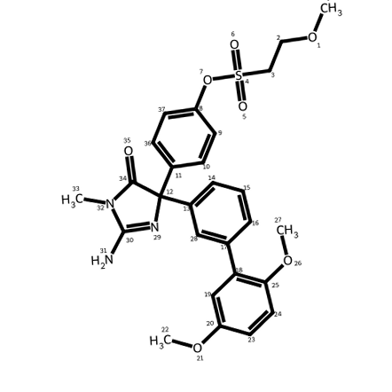 COCCS(=O)(=O)Oc1ccc(C2(c3cccc(-c4cc(OC)ccc4OC)c3)N=C(N)N(C)C2=O)cc1